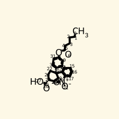 CCCCCC(=O)Oc1ccc([C@]2(c3ccccc3[N+](=O)[O-])CC[C@H](C(=O)O)CC2)cc1